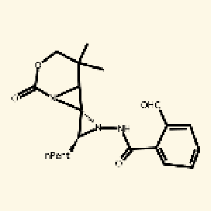 CCCCC[C@@H]1N(NC(=O)c2ccccc2C=O)[C@]12C1N2C(=O)OCC1(C)C